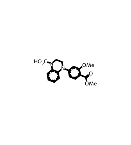 COC(=O)c1ccc(N2CCN(C(=O)O)c3ccccc32)cc1OC